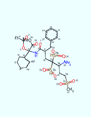 CCC(=O)OC(NC(=O)C(Cc1ccccc1)CC(C(N)CCS(C)(=O)=O)([SH](=O)=O)[SH](=O)=O)(C(=O)OC)C1CCCCC1